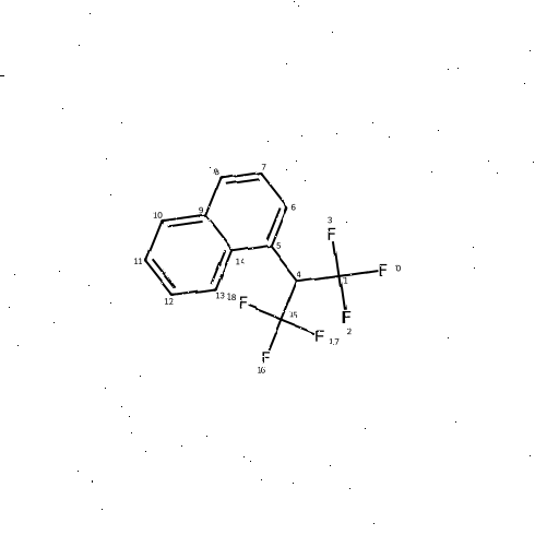 FC(F)(F)C(c1cccc2ccccc12)C(F)(F)F